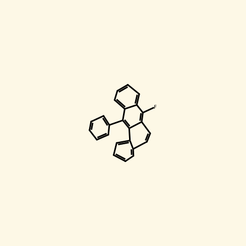 Fc1c2ccccc2c(-c2ccccc2)c2c1ccc1ccccc12